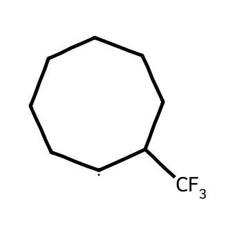 FC(F)(F)C1[CH]CCCCCC1